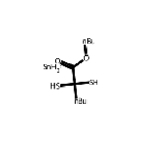 CCCCOC(=O)C(S)(S)CCCC.[SnH2]